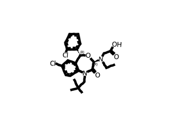 CCN(CC(=O)O)[C@@H]1O[C@@H](c2ccccc2Cl)c2cc(Cl)ccc2N(CC(C)(C)C)C1=O